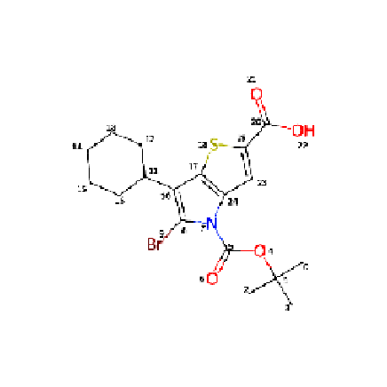 CC(C)(C)OC(=O)n1c(Br)c(C2CCCCC2)c2sc(C(=O)O)cc21